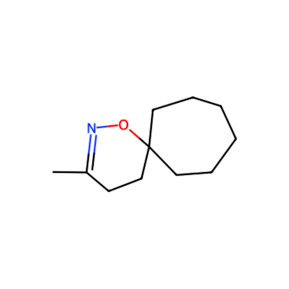 CC1=NOC2(CCCCCC2)CC1